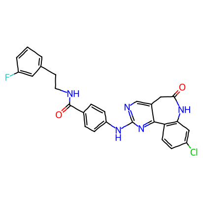 O=C1Cc2cnc(Nc3ccc(C(=O)NCCc4cccc(F)c4)cc3)nc2-c2ccc(Cl)cc2N1